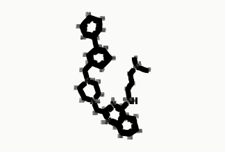 CN(C)CCCNc1nc(CN2CCN(Cc3cccc(-c4ccccc4)c3)CC2)nc2ccccc12